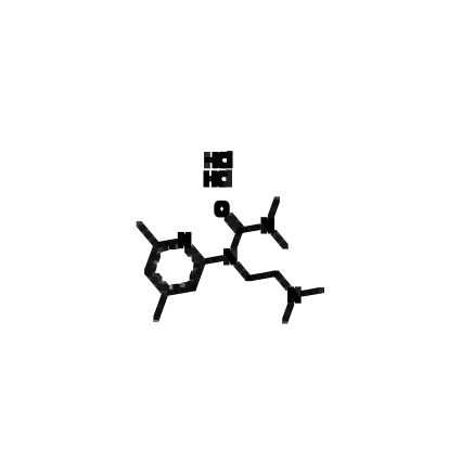 Cc1cc(C)nc(N(CCN(C)C)C(=O)N(C)C)c1.Cl.Cl